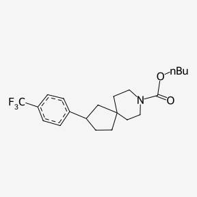 CCCCOC(=O)N1CCC2(CCC(c3ccc(C(F)(F)F)cc3)C2)CC1